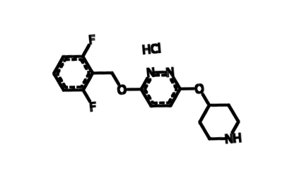 Cl.Fc1cccc(F)c1COc1ccc(OC2CCNCC2)nn1